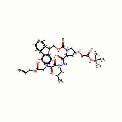 C=CCOC(=O)CNC(=O)C(=O)[C@H](CCC)NC(=O)[C@@H]1CC(OCC(=O)OC(C)(C)C)CN1C(=O)OCC1c2ccccc2-c2ccccc21